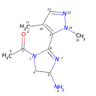 CC(=O)N1CC(N)N=C1c1c(C)cnn1C